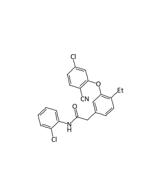 CCc1ccc(CC(=O)Nc2ccccc2Cl)cc1Oc1cc(Cl)ccc1C#N